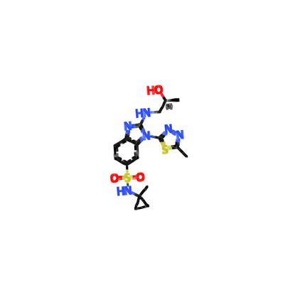 Cc1nnc(-n2c(NC[C@H](C)O)nc3ccc(S(=O)(=O)NC4(C)CC4)cc32)s1